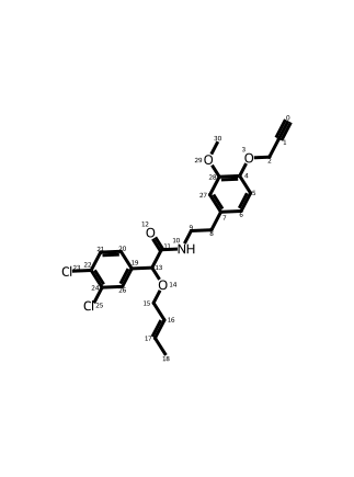 C#CCOc1ccc(CCNC(=O)C(OCC=CC)c2ccc(Cl)c(Cl)c2)cc1OC